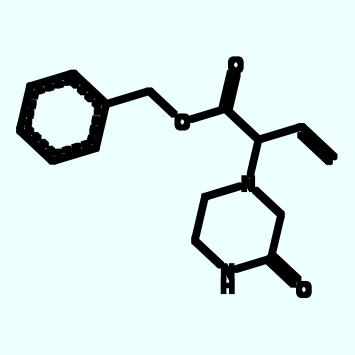 C=CC(C(=O)OCc1ccccc1)N1CCNC(=O)C1